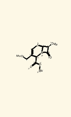 COCC1=CSC2[C@@H](OC)C(=O)N2C1C(=O)OC(C)(C)C